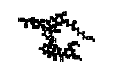 CCCCCOC(=O)COc1cc(N2C(=O)C3=C(CCCC3)C2=O)c(F)cc1Cl.COc1nc(C)nc(NC(=O)NS(=O)(=O)c2ccsc2C(=O)O)n1.O=C(O)CNCP(=O)(O)O